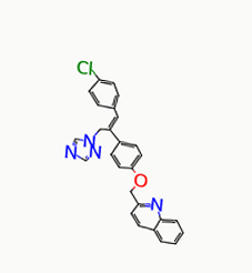 Clc1ccc(/C=C(\Cn2cncn2)c2ccc(OCc3ccc4ccccc4n3)cc2)cc1